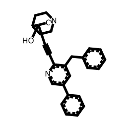 OC1(C#Cc2ncc(-c3ccccc3)cc2Cc2ccccc2)CN2CCC1CC2